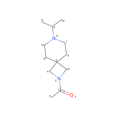 CC(=O)N1CC2(CCN(C(C)C)CC2)C1